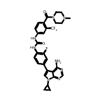 CN1CCN(C(=O)c2ccc(NC(=O)Nc3ccc(-c4cn(C5CC5)c5ncnc(N)c45)cc3F)cc2C(F)(F)F)CC1